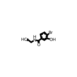 C#CCNC(=O)c1ccc(Br)c(O)c1